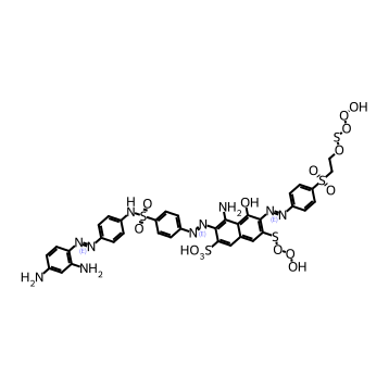 Nc1ccc(/N=N/c2ccc(NS(=O)(=O)c3ccc(/N=N/c4c(S(=O)(=O)O)cc5cc(SOOO)c(/N=N/c6ccc(S(=O)(=O)CCOSOOO)cc6)c(O)c5c4N)cc3)cc2)c(N)c1